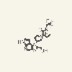 CCC(C(=O)NCC(F)(F)F)N1CCC(n2c(CO)nc3cnc4[nH]ccc4c32)C1